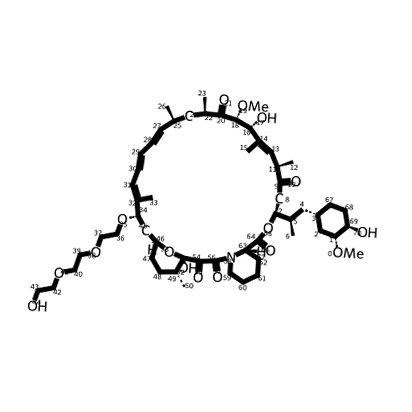 CO[C@@H]1C[C@H](C[C@@H](C)[C@@H]2CC(=O)[C@H](C)/C=C(\C)[C@@H](O)[C@@H](OC)C(=O)[C@H](C)C[C@H](C)/C=C/C=C/C=C(\C)[C@@H](OCCOCCOCCO)C[C@@H]3CC[C@@H](C)[C@@](O)(O3)C(=O)C(=O)N3CCCC[C@H]3C(=O)O2)CC[C@H]1O